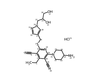 CCc1c(C#N)c(SCc2cnn(CC(O)CO)c2)nc(N2CCC(N)CC2)c1C#N.Cl